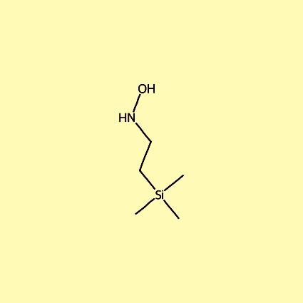 C[Si](C)(C)CCNO